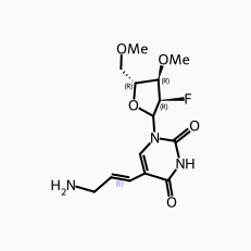 COC[C@H]1OC(n2cc(/C=C/CN)c(=O)[nH]c2=O)[C@H](F)[C@@H]1OC